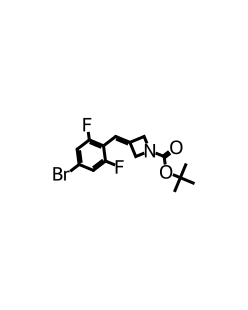 CC(C)(C)OC(=O)N1CC(=Cc2c(F)cc(Br)cc2F)C1